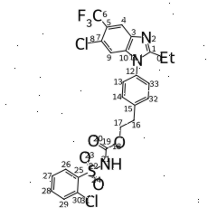 CCc1nc2cc(C(F)(F)F)c(Cl)cc2n1-c1ccc(CCOC(=O)NS(=O)(=O)c2ccccc2Cl)cc1